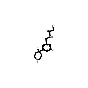 Cl.O=C(CF)NCc1cccc(C2(F)CCNCC2)c1